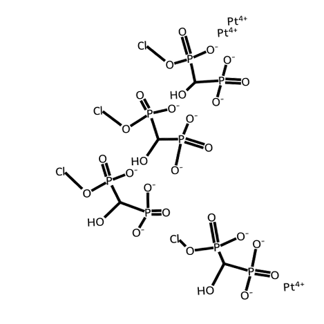 O=P([O-])([O-])C(O)P(=O)([O-])OCl.O=P([O-])([O-])C(O)P(=O)([O-])OCl.O=P([O-])([O-])C(O)P(=O)([O-])OCl.O=P([O-])([O-])C(O)P(=O)([O-])OCl.[Pt+4].[Pt+4].[Pt+4]